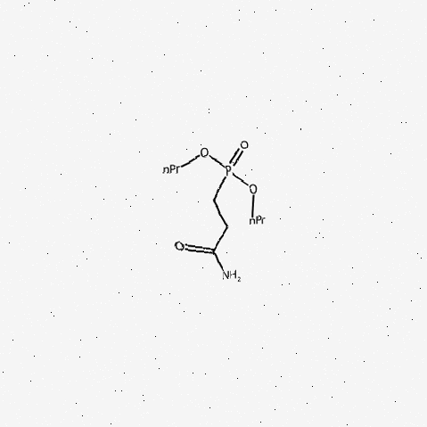 CCCOP(=O)(CCC(N)=O)OCCC